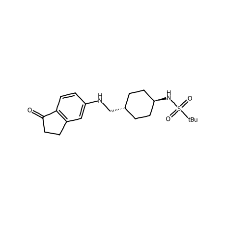 CC(C)(C)S(=O)(=O)N[C@H]1CC[C@H](CNc2ccc3c(c2)CCC3=O)CC1